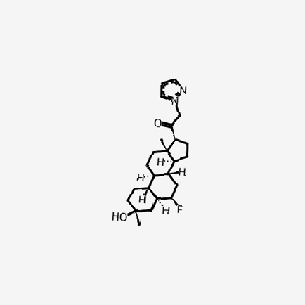 C[C@@]1(O)CC[C@@H]2[C@H]3CC[C@]4(C)[C@@H](C(=O)Cn5cccn5)CC[C@H]4[C@@H]3C[C@@H](F)[C@H]2C1